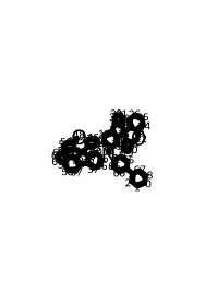 c1ccc(-c2ccc(N(c3ccc4c(c3)C3(c5ccccc5Oc5ccccc53)c3ccccc3-4)c3ccc4c(c3)C3(c5ccccc5Oc5ccccc53)c3c-4ccc4ccccc34)cc2)cc1